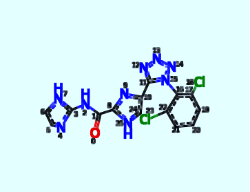 O=C(Nc1ncc[nH]1)c1nc(-c2nnnn2-c2c(Cl)cccc2Cl)c[nH]1